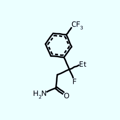 CCC(F)(CC(N)=O)c1cccc(C(F)(F)F)c1